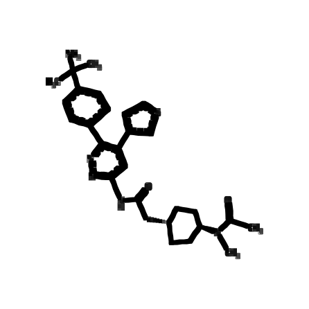 CC(=O)N(C)[C@H]1CC[C@H](CC(=O)Nc2cc(-c3ccsc3)c(-c3ccc(C(C)(C)N)cc3)nn2)CC1